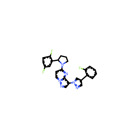 Fc1ccc(F)c(C2CCCN2c2ccn3ncc(-n4cc(-c5ccccc5F)cn4)c3n2)c1